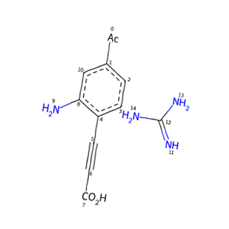 CC(=O)c1ccc(C#CC(=O)O)c(N)c1.N=C(N)N